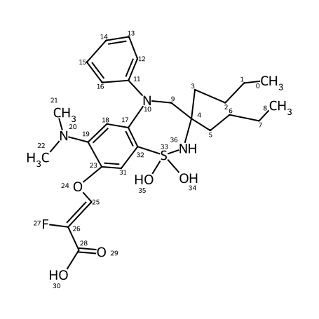 CCCCC1(CCCC)CN(c2ccccc2)c2cc(N(C)C)c(O/C=C(\F)C(=O)O)cc2S(O)(O)N1